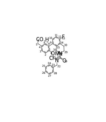 COc1ccc(CC(=O)O)cc1-c1ccc(F)c2c1CN(C(=O)N(Cl)Cc1ccccc1)CC2